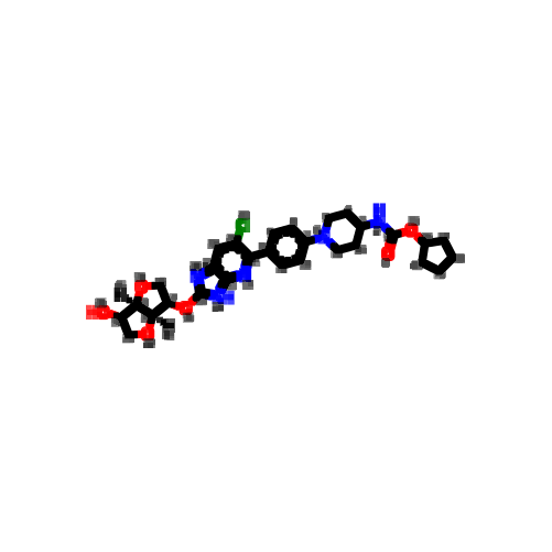 O=C(NC1CCN(c2ccc(-c3nc4[nH]c(O[C@@H]5CO[C@H]6[C@@H]5OC[C@H]6O)nc4cc3Cl)cc2)CC1)OC1CCCC1